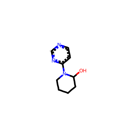 OC1CCCCN1c1ccn[c]n1